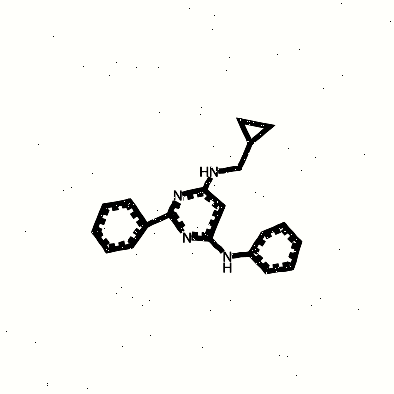 c1ccc(Nc2cc(NCC3CC3)nc(-c3ccccc3)n2)cc1